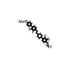 CCOCc1ccc(C2CCC(CCc3ccc(-c4ccc(OC)cc4)c(F)c3F)CC2)c(F)c1F